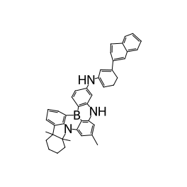 Cc1cc2c3c(c1)N1c4c(cccc4C4(C)CCCCC14C)B3c1ccc(NC3=CCCC(c4ccc5ccccc5c4)=C3)cc1N2